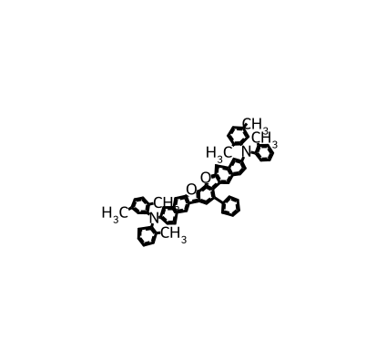 Cc1ccc(C)c(N(c2ccc3cc4c(cc3c2)oc2c4cc(-c3ccccc3)c3c4cc5ccc(N(c6ccccc6C)c6cc(C)ccc6C)cc5cc4oc23)c2ccccc2C)c1